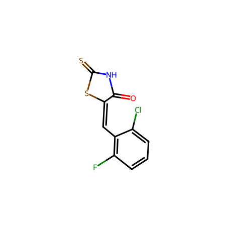 O=C1NC(=S)S/C1=C/c1c(F)cccc1Cl